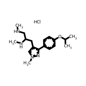 CNCC(Cc1cn(C)nc1-c1ccc(OC(C)C)cc1)NC.Cl